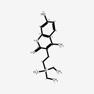 CC[N+](C)(CC)CCc1c(C)c2ccc(O)cc2oc1=O